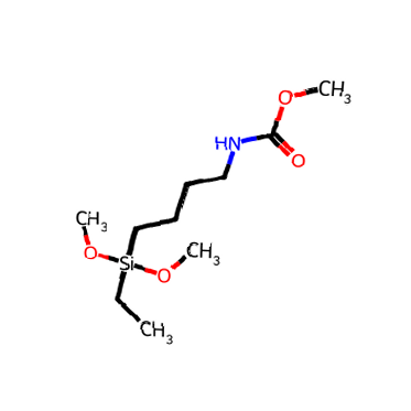 CC[Si](CCCCNC(=O)OC)(OC)OC